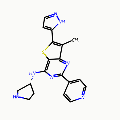 Cc1c(-c2ccn[nH]2)sc2c(N[C@@H]3CCNC3)nc(-c3ccncc3)nc12